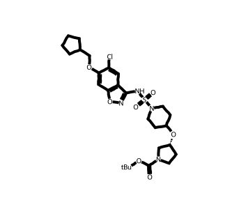 CC(C)(C)OC(=O)N1CC[C@@H](OC2CCN(S(=O)(=O)Nc3noc4cc(OCC5CCCC5)c(Cl)cc34)CC2)C1